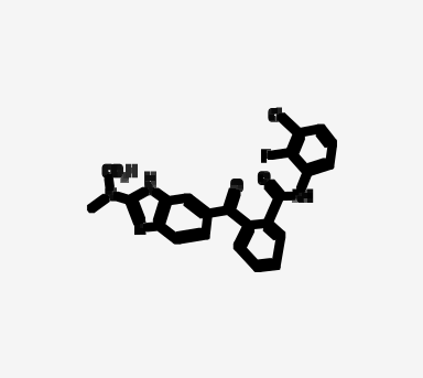 CN(C(=O)O)c1nc2ccc(C(=O)c3ccccc3C(=O)Nc3cccc(Cl)c3F)cc2[nH]1